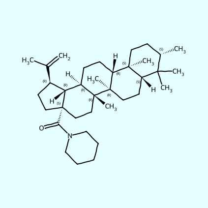 C=C(C)[C@@H]1CC[C@]2(C(=O)N3CCCCC3)CC[C@]3(C)[C@H](CC[C@@H]4[C@@]5(C)CC[C@H](C)C(C)(C)[C@@H]5CC[C@]43C)[C@@H]12